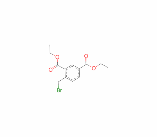 CCOC(=O)c1ccc(CBr)c(C(=O)OCC)c1